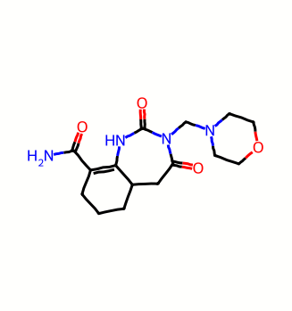 NC(=O)C1=C2NC(=O)N(CN3CCOCC3)C(=O)CC2CCC1